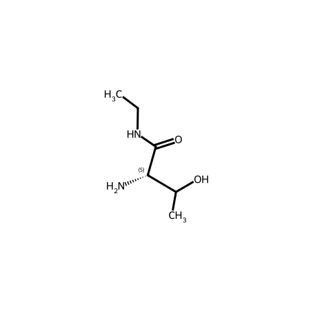 CCNC(=O)[C@@H](N)C(C)O